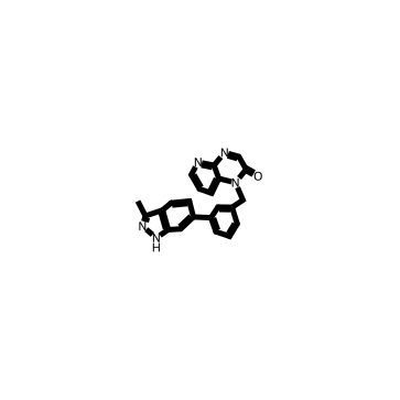 Cc1n[nH]c2cc(-c3cccc(Cn4c(=O)cnc5ncccc54)c3)ccc12